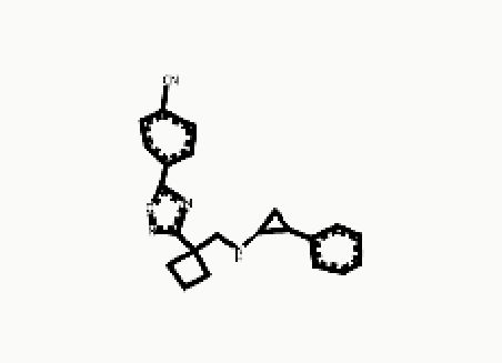 N#Cc1ccc(-c2nc(C3(CN[C@H]4CC4c4ccccc4)CCC3)no2)cc1